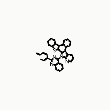 C=C/C=C\C(=C/C)c1nc(-n2c3ncccc3c3c4ccccc4c4c5ccccc5sc4c32)c2ccccc2n1